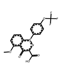 COc1cccc2c1c(=O)c(C(=O)O)nn2-c1ccc(OC(F)(F)F)cc1